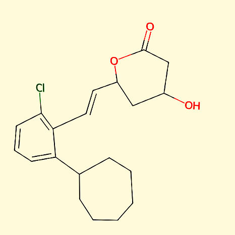 O=C1CC(O)CC(C=Cc2c(Cl)cccc2C2CCCCCC2)O1